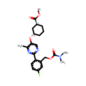 CCCCN(C)C(=O)OCc1cc(F)ccc1-c1ncc(O[C@H]2CCC[C@H](C(=O)OC(C)C)C2)c(C)n1